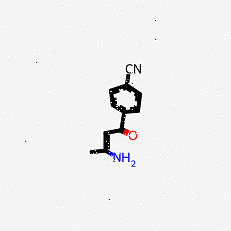 CC(N)=CC(=O)c1ccc(C#N)cc1